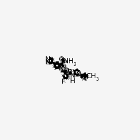 Cn1cc(N2CCCC(NC(=O)[C@@H]3C[C@@H](F)CN3C(=O)Cn3nc(C(N)=O)c4cc(-c5ccnnc5)ccc43)C2)cn1